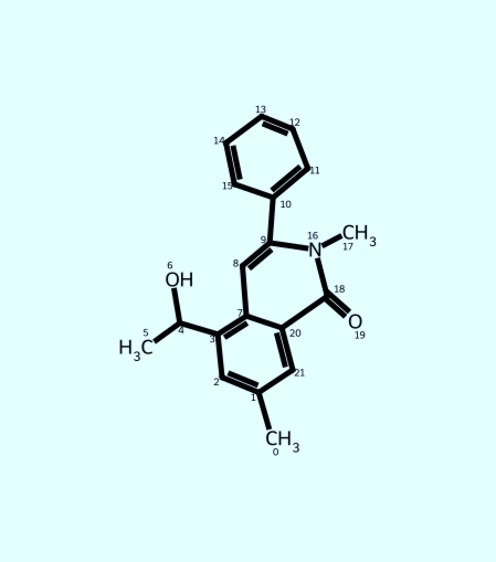 Cc1cc(C(C)O)c2cc(-c3ccccc3)n(C)c(=O)c2c1